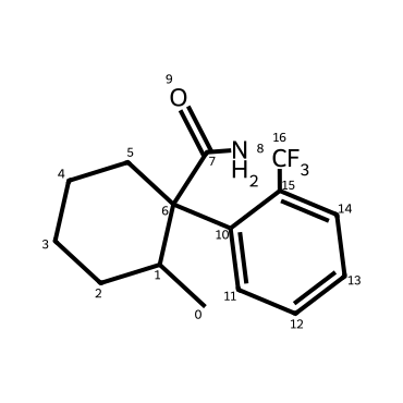 CC1CCCCC1(C(N)=O)c1ccccc1C(F)(F)F